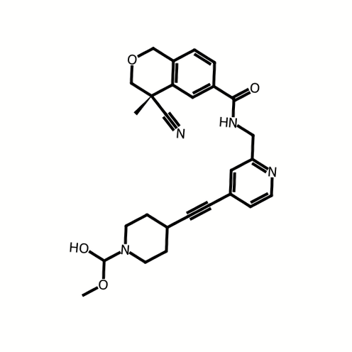 COC(O)N1CCC(C#Cc2ccnc(CNC(=O)c3ccc4c(c3)[C@](C)(C#N)COC4)c2)CC1